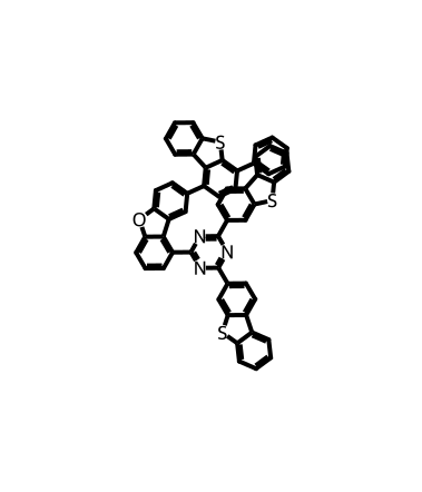 c1ccc(-c2ccc(-c3ccc4oc5cccc(-c6nc(-c7ccc8c(c7)sc7ccccc78)nc(-c7ccc8c(c7)sc7ccccc78)n6)c5c4c3)c3c2sc2ccccc23)cc1